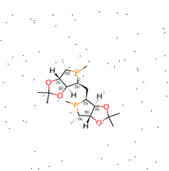 C[C@H]1[C@H]2OC(C)(C)O[C@@H]2[C@H](C[C@H]2[C@H]3OC(C)(C)O[C@@H]3[C@H](C)P2C)P1C